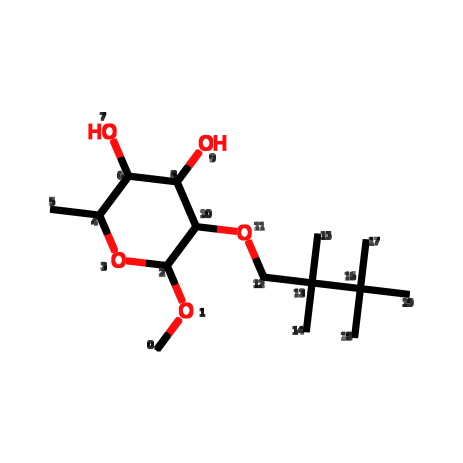 COC1OC(C)C(O)C(O)C1OCC(C)(C)C(C)(C)C